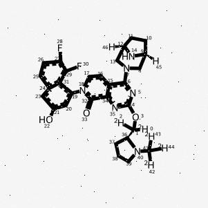 [2H]C([2H])(Oc1nc(N2C[C@H]3CC[C@@H](C2)N3)c2ccn(-c3cc(O)cc4ccc(F)c(F)c34)c(=O)c2n1)[C@@H]1CCCN1C([2H])([2H])[2H]